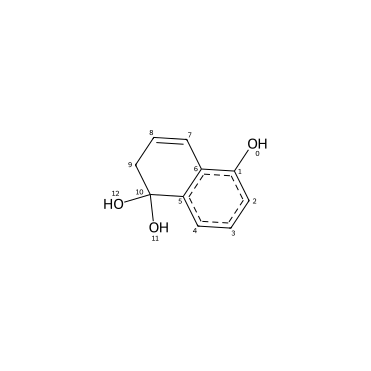 Oc1cccc2c1C=CCC2(O)O